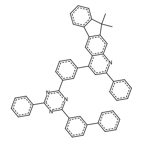 CC1(C)c2ccccc2-c2cc3c(-c4cccc(-c5nc(-c6ccccc6)nc(-c6cccc(-c7ccccc7)c6)n5)c4)cc(-c4ccccc4)nc3cc21